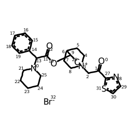 O=C(C[N+]12CCC(CC1)C(OC(=O)C(c1ccccc1)N1CCCCC1)C2)c1nccs1.[Br-]